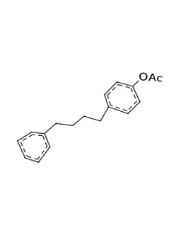 CC(=O)Oc1ccc(CCCCc2ccccc2)cc1